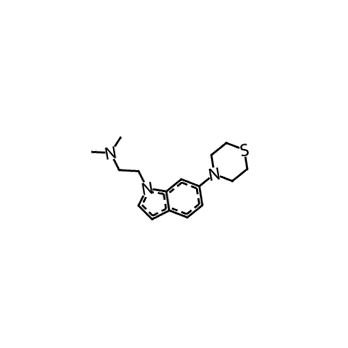 CN(C)CCn1ccc2ccc(N3CCSCC3)cc21